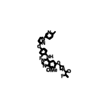 C=C(F)C(=O)N1CC(Oc2cc3c(Nc4ccc(Oc5ccn(-c6ccc(C)nc6)n5)cc4F)ncnc3cc2OC)C1